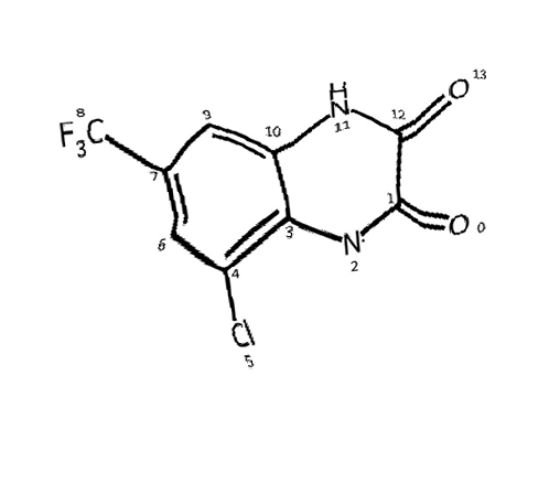 O=C1[N]c2c(Cl)cc(C(F)(F)F)cc2NC1=O